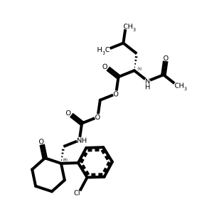 CC(=O)N[C@@H](CC(C)C)C(=O)OCOC(=O)NC[C@]1(c2ccccc2Cl)CCCCC1=O